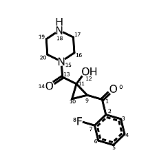 O=C(c1ccccc1F)C1CC1(O)C(=O)N1CCNCC1